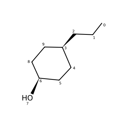 CCC[C@H]1CC[C@@H](O)CC1